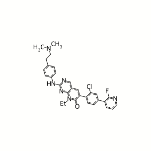 CCn1c(=O)c(-c2ccc(-c3cccnc3F)cc2Cl)cc2cnc(Nc3ccc(CCN(C)C)cc3)nc21